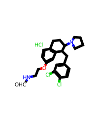 Cl.O=CNCCOc1ccc2c(c1)C(Cc1ccc(Cl)c(Cl)c1)C(N1CCCC1)CC2